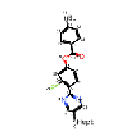 CCCCCCCc1cnc(-c2ccc(OC(=O)c3ccc(CCCC)cc3)cc2F)nc1